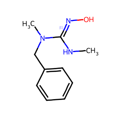 CN/C(=N\O)N(C)Cc1ccccc1